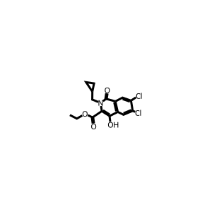 CCOC(=O)c1c(O)c2cc(Cl)c(Cl)cc2c(=O)n1CC1CC1